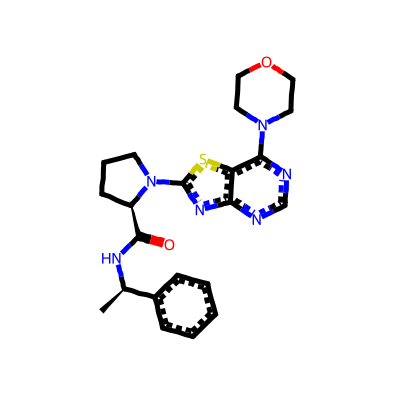 C[C@@H](NC(=O)[C@H]1CCCN1c1nc2ncnc(N3CCOCC3)c2s1)c1ccccc1